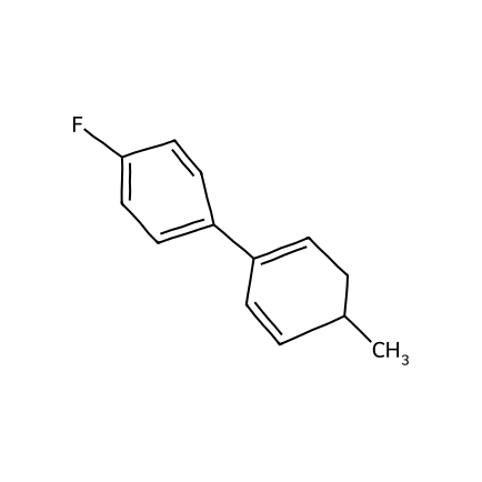 CC1C=CC(c2ccc(F)cc2)=CC1